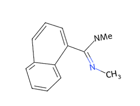 CN=C(NC)c1cccc2ccccc12